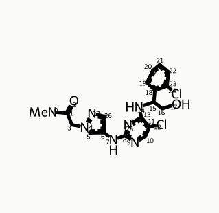 CNC(=O)Cn1cc(Nc2ncc(Cl)c(NC(CO)c3ccccc3Cl)n2)cn1